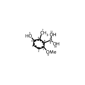 COc1ccc(O)c(C)c1B(O)O